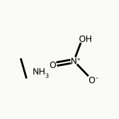 CC.N.O=[N+]([O-])O